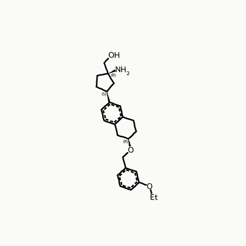 CCOc1cccc(CO[C@@H]2CCc3cc([C@H]4CC[C@](N)(CO)C4)ccc3C2)c1